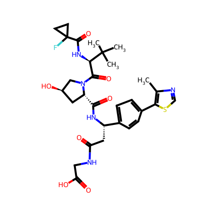 Cc1ncsc1-c1ccc([C@H](CC(=O)NCC(=O)O)NC(=O)[C@@H]2C[C@@H](O)CN2C(=O)[C@@H](NC(=O)C2(F)CC2)C(C)(C)C)cc1